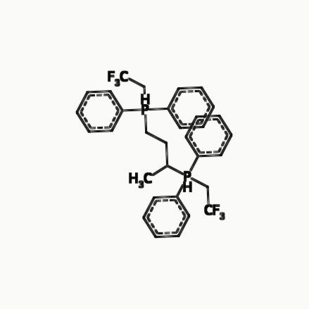 CC(CC[PH](CC(F)(F)F)(c1ccccc1)c1ccccc1)[PH](CC(F)(F)F)(c1ccccc1)c1ccccc1